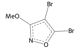 COc1noc(Br)c1Br